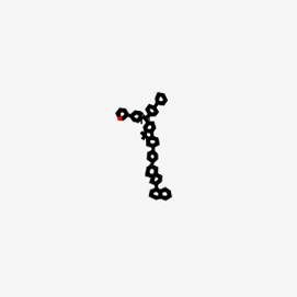 CC1(C)c2cc(-c3ccc(-c4ccc5cc(-c6cccc7ccccc67)ccc5c4)cc3)ccc2-c2ccc(N(c3ccc(-c4ccccc4)cc3)c3ccc(-c4ccccc4)cc3)cc21